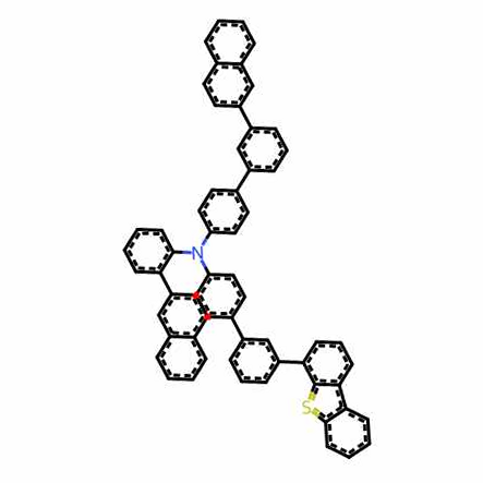 c1cc(-c2ccc(N(c3ccc(-c4cccc(-c5cccc6c5sc5ccccc56)c4)cc3)c3ccccc3-c3ccc4ccccc4c3)cc2)cc(-c2ccc3ccccc3c2)c1